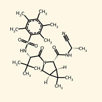 Cc1c(C)c(C)c(S(=O)(=O)N[C@H](C(=O)N2C[C@H]3[C@@H]([C@H]2C(=O)N[C@@H](C)C#N)C3(C)C)C(C)(C)C)c(C)c1C